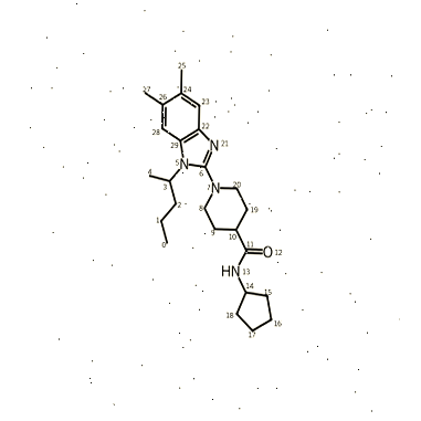 CCCC(C)n1c(N2CCC(C(=O)NC3CCCC3)CC2)nc2cc(C)c(C)cc21